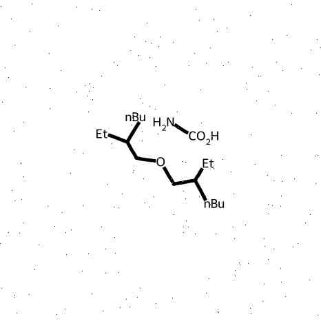 CCCCC(CC)COCC(CC)CCCC.NC(=O)O